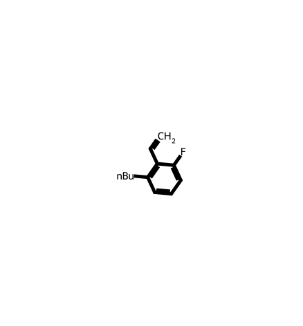 C=Cc1c(F)cccc1CCCC